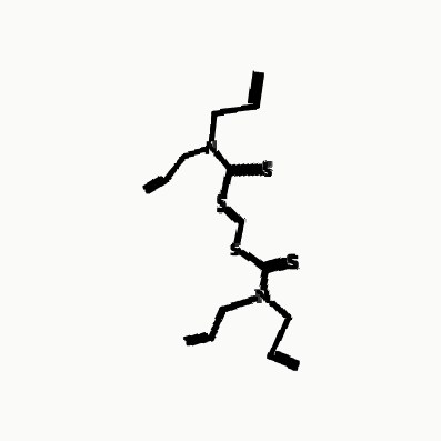 C=CCN(CC=C)C(=S)SCSC(=S)N(CC=C)CC=C